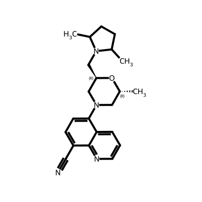 CC1CCC(C)N1C[C@@H]1CN(c2ccc(C#N)c3ncccc23)C[C@@H](C)O1